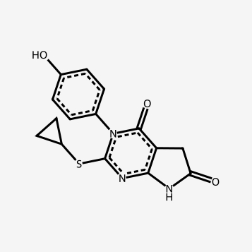 O=C1Cc2c(nc(SC3CC3)n(-c3ccc(O)cc3)c2=O)N1